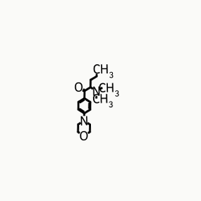 CCCC(C(=O)c1ccc(N2CCOCC2)cc1)N(C)C